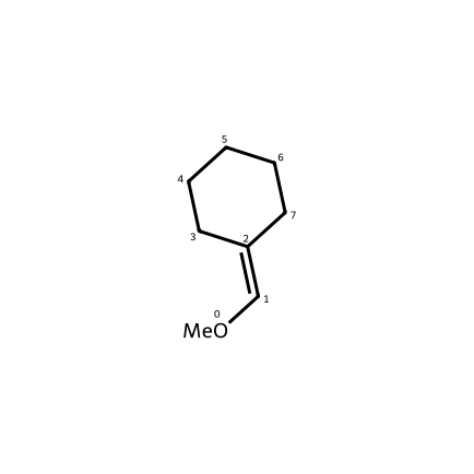 COC=C1CCCCC1